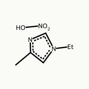 CCn1cnc(C)c1.O=[N+]([O-])O